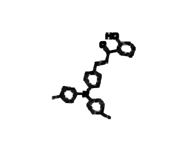 Cc1ccc(N(c2ccc(C)cc2)c2ccc(C=CC(=O)c3ccccc3O)cc2)cc1